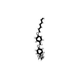 CCCCCCCOc1ccc(COc2ccc(S(F)(F)(F)(F)F)cc2)cc1